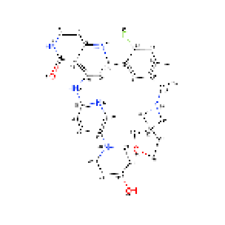 O=c1[nH]ccc2nc(-c3cc4c(cc3F)CCC4N3CC4(CCOC4)C3)cc(Nc3ccc(N4CCC(O)CC4)cn3)c12